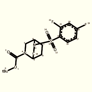 CC(C)(C)OC(=O)N1CC2CCC1CN2S(=O)(=O)c1ccc(F)cc1F